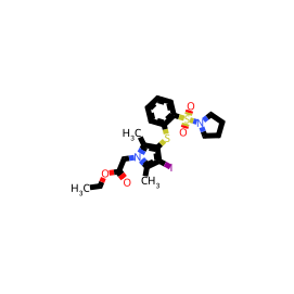 CCOC(=O)Cn1c(C)c(I)c(Sc2ccccc2S(=O)(=O)N2CCCC2)c1C